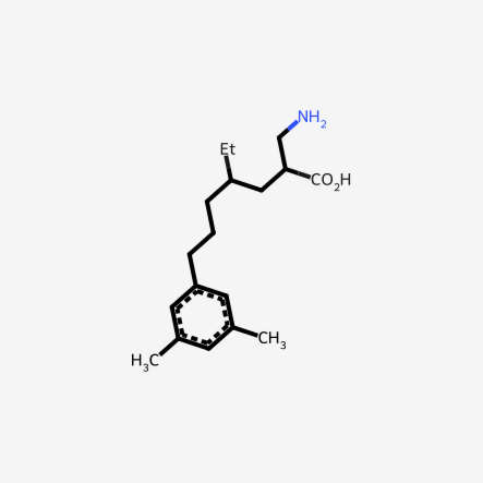 CCC(CCCc1cc(C)cc(C)c1)CC(CN)C(=O)O